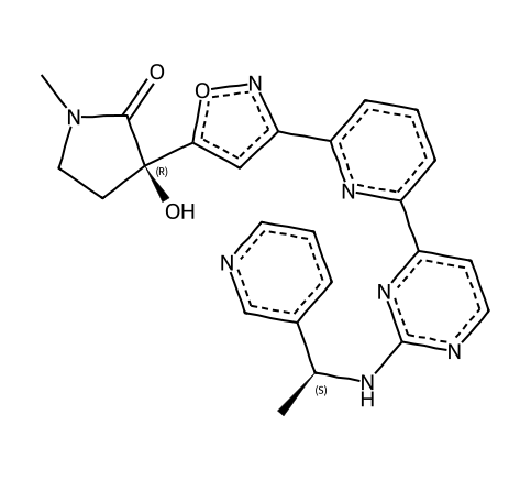 C[C@H](Nc1nccc(-c2cccc(-c3cc([C@]4(O)CCN(C)C4=O)on3)n2)n1)c1cccnc1